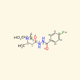 CC(CC(=O)NNC(=O)c1ccc(F)cc1)N(C)C(=O)O